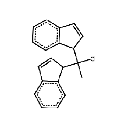 CC(Cl)(C1C=Cc2ccccc21)C1C=Cc2ccccc21